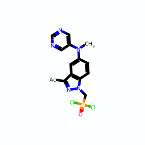 CC(=O)c1nn(CP(=O)(Cl)Cl)c2ccc(N(C)c3cncnc3)cc12